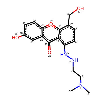 CN(C)CCNNc1ccc(CO)c2oc3ccc(O)cc3c(=O)c12